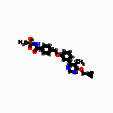 Cc1c(OCC2CC2)ncnc1-c1cccc(OCc2ccc(C(=O)NS(C)(=O)=O)cc2)c1